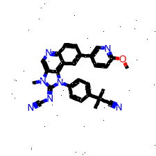 COc1ccc(-c2ccc3ncc4c(c3c2)n(-c2ccc(C(C)(C)C#N)cc2)c(=NC#N)n4C)cn1